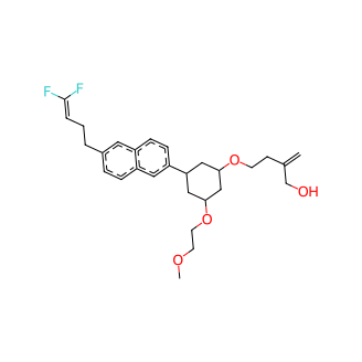 C=C(CO)CCOC1CC(OCCOC)CC(c2ccc3cc(CCC=C(F)F)ccc3c2)C1